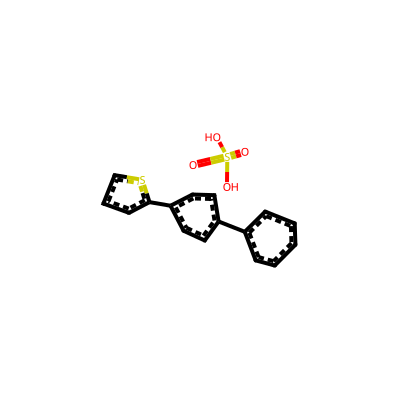 O=S(=O)(O)O.c1ccc(-c2ccc(-c3cccs3)cc2)cc1